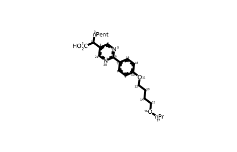 CCCCCC(C(=O)O)c1cnc(-c2ccc(OCCCCOCCC)cc2)nc1